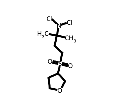 CC(C)(CCS(=O)(=O)C1CCOC1)N(Cl)Cl